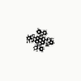 CC(C)c1cccc(C(C)C)c1N1C(=O)c2cc(OC3=CCCC=C3)c3c4c(Oc5ccccc5)cc5c6c(cc(Oc7ccccc7)c(c7c(Oc8ccccc8)cc(c2c37)C1=O)c64)C(=O)N(c1c(C(C)C)cccc1C(C)C)C5=O